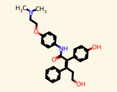 CN(C)CCOc1ccc(NC(=O)/C(=C(/CCO)c2ccccc2)c2ccc(O)cc2)cc1